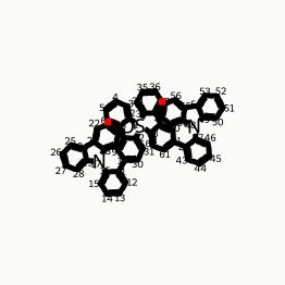 O=S12(c3ccccc3-c3cc(-c4ccccc4-n4c5ccccc5c5ccccc54)ccc31)c1ccccc1-c1cc(-c3ccccc3-n3c4ccccc4c4ccccc43)ccc12